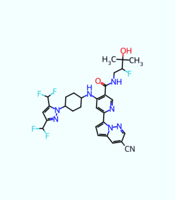 CC(C)(O)C(F)CNC(=O)c1cnc(-c2ccc3cc(C#N)cnn23)cc1NC1CCC(n2nc(C(F)F)cc2C(F)F)CC1